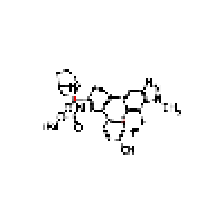 Cn1nnc2cc(-c3ccc(C(=O)N4C5CCC4CC(NC(=O)OC(C)(C)C)C5)cc3-c3ccc(C#N)c(F)c3)c(F)c(F)c21